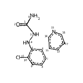 NC(=O)NNc1ccccc1Cl.c1ccncc1